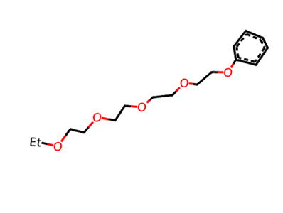 CCOCCOCCOCCOCCOc1ccccc1